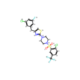 O=S(=O)(c1cc(C(F)(F)F)ccc1Cl)N1CCN(c2nc(Cc3cc(F)cc(Cl)c3)cs2)CC1